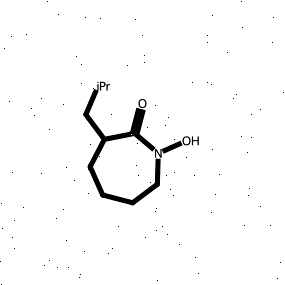 CC(C)CC1CCCCN(O)C1=O